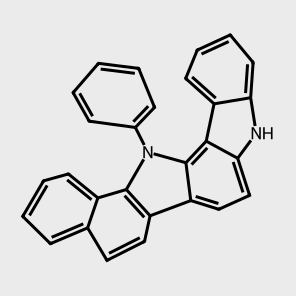 c1ccc(-n2c3c4ccccc4ccc3c3ccc4[nH]c5ccccc5c4c32)cc1